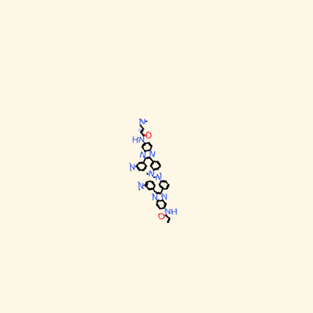 C=CC(=O)Nc1ccc2nc(-c3cccc(N(C)C)c3)c(-c3cccc(N(C)CN(C)c4cccc(-c5nc6ccc(NC(=O)/C=C/CN(C)C)cc6nc5-c5cccc(N(C)C)c5)c4)c3)nc2c1